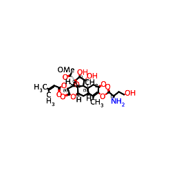 COC(=O)[C@@]12OC[C@]34C([C@@H](O)[C@@H]1O)[C@@]1(C)CC(=O)C(OC(=O)[C@@H](N)CCO)=C(C)[C@@H]1C[C@H]3OC(=O)[C@H](OC(=O)C=C(C)C)[C@@H]24